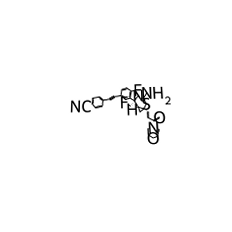 N#Cc1ccc(C#Cc2ccc(F)c([C@@]3(CF)N=C(N)S[C@@]4(/C=C/C(=O)N5CCOCC5)C[C@H]43)c2)cc1